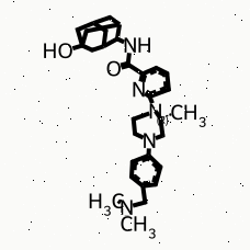 C[C@@H]1CN(c2ccc(CN(C)C)cc2)CCN1c1cccc(C(=O)NC2C3CC4CC2CC(O)(C4)C3)n1